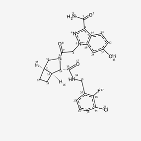 NC(=O)c1nn(CC(=O)N2C[C@@H]3CC[C@@H]3[C@H]2C(=O)NCc2cccc(Cl)c2F)c2cc(O)ccc12